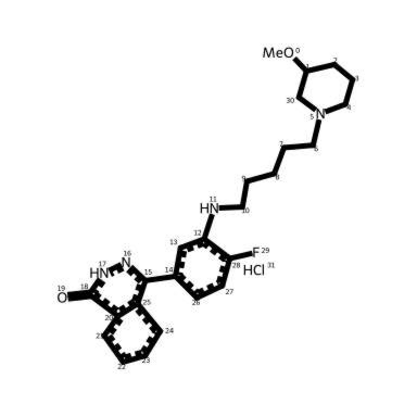 COC1CCCN(CCCCCNc2cc(-c3n[nH]c(=O)c4ccccc34)ccc2F)C1.Cl